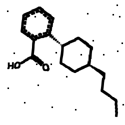 CCCC[C@H]1CC[C@H](c2ccccc2C(=O)O)CC1